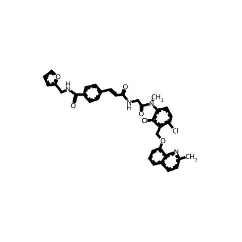 Cc1ccc2cccc(OCc3c(Cl)ccc(N(C)C(=O)CNC(=O)/C=C/c4ccc(C(=O)NCc5ccco5)cc4)c3Cl)c2n1